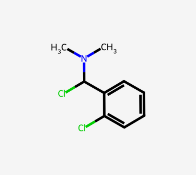 CN(C)C(Cl)c1ccccc1Cl